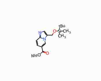 COC(=O)c1ccc2ncc(CO[Si](C)(C)C(C)(C)C)n2c1